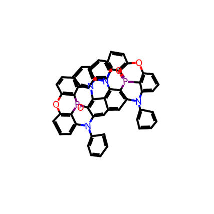 O=P12c3c4cccc3N(c3ccccc3)c3cc5cc6c7c(c5c(c31)N(c1ccccc1)c1cccc(c12)O4)N(c1ccccc1)c1cccc2c1P7(=O)c1c(cccc1N6c1ccccc1)O2